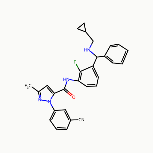 N#Cc1cccc(-n2nc(C(F)(F)F)cc2C(=O)Nc2cccc(C(NCC3CC3)c3ccccc3)c2F)c1